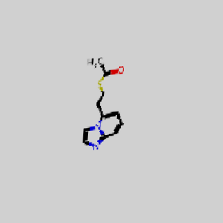 CC(=O)SCCc1cccc2nccn12